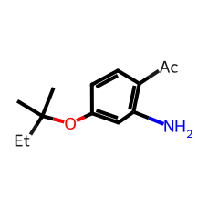 CCC(C)(C)Oc1ccc(C(C)=O)c(N)c1